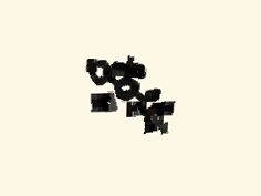 CS(=O)(=O)c1cc(C(=O)NC(=N)N)ccc1N1CCSCC1.Cl